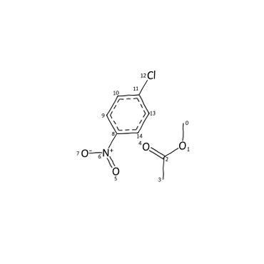 COC(C)=O.O=[N+]([O-])c1ccc(Cl)cc1